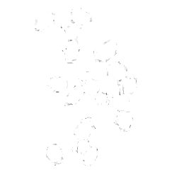 FB(F)n1c(/C(=C2\N=C(c3ccccc3)C(c3ccc4c(c3)c3ccccc3n4-c3ccccc3)=C2c2ccccc2)c2cccc3ccccc23)c(-c2ccccc2)c(-c2ccc3c(c2)c2ccccc2n3-c2ccccc2)c1-c1ccccc1